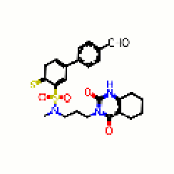 CN(CCCn1c(=O)[nH]c2c(c1=O)CCCC2)S(=O)(=O)C1=CC(c2ccc(C=O)cc2)=CCC1=S